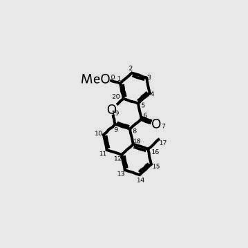 COc1cccc2c(=O)c3c(ccc4cccc(C)c43)oc12